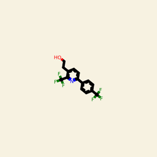 OCCc1ccc(-c2ccc(C(F)(F)F)cc2)nc1C(F)(F)F